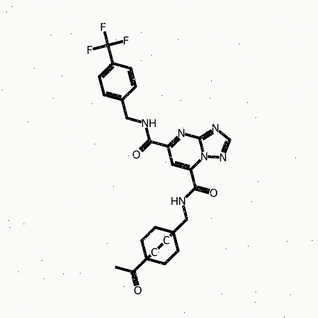 CC(=O)C12CCC(CNC(=O)c3cc(C(=O)NCc4ccc(C(F)(F)F)cc4)nc4ncnn34)(CC1)CC2